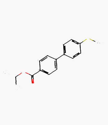 CCCCCCCCCSc1ccc(-c2ccc(C(=O)O[C@H](C)C#N)cc2)cc1